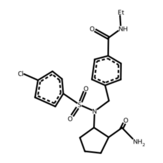 CCNC(=O)c1ccc(CN(C2CCCC2C(N)=O)S(=O)(=O)c2ccc(Cl)cc2)cc1